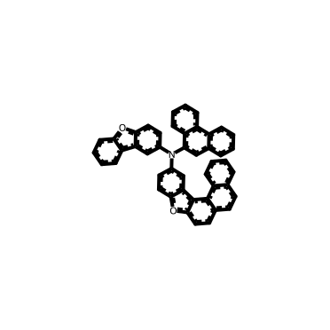 c1ccc2c(c1)cc(N(c1ccc3oc4ccccc4c3c1)c1ccc3oc4ccc5ccc6ccccc6c5c4c3c1)c1ccccc12